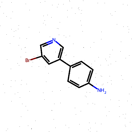 Nc1ccc(-c2cncc(Br)c2)cc1